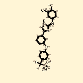 Cn1nc(-c2cccc(Oc3ccc(C(F)(F)P(=O)(O)O)cc3)c2)s/c1=N/c1ccc(Cl)c(Cl)c1